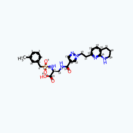 Cc1cccc(CS(=O)(=O)N[C@@H](CNC(=O)c2cnn(CCc3ccc4c(n3)NCCC4)c2)C(=O)O)c1